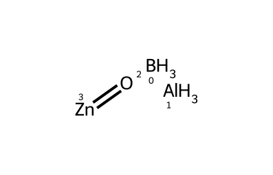 B.[AlH3].[O]=[Zn]